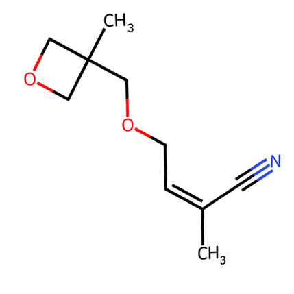 CC(C#N)=CCOCC1(C)COC1